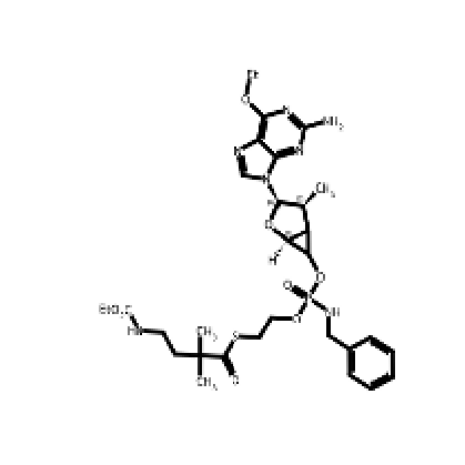 CCOC(=O)NCCC(C)(C)C(=O)SCCOP(=O)(NCc1ccccc1)OC1C2[C@@H]1O[C@@H](n1cnc3c(OCC)nc(N)nc31)[C@H]2C